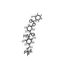 Cc1ccccc1C(=O)Oc1cccc(C(=O)Nc2c(C)cc(C=CC(F)(F)F)cc2C)c1